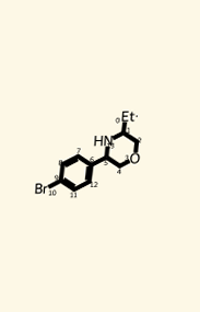 [CH2][CH]C1COCC(c2ccc(Br)cc2)N1